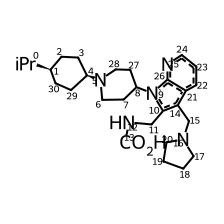 CC(C)[C@H]1CC[C@@H](N2CCC(n3c(CNC(=O)O)c(CN4CCCC4)c4cccnc43)CC2)CC1